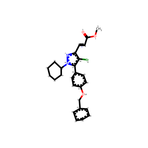 COC(=O)/C=C/c1nn(C2CCCCC2)c(-c2ccc(OCc3ccccc3)cc2)c1Br